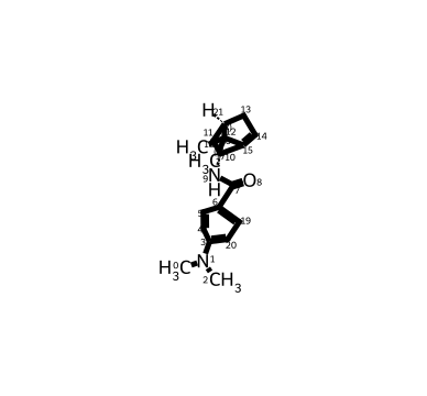 CN(C)c1ccc(C(=O)N[C@@H]2C[C@H]3CC=C2C3(C)C)cc1